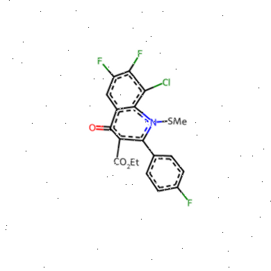 CCOC(=O)c1c(-c2ccc(F)cc2)n(SC)c2c(Cl)c(F)c(F)cc2c1=O